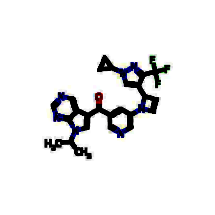 CC(C)n1cc(C(=O)c2cncc(N3C=CC3c3cn(C4CC4)nc3C(F)(F)F)c2)c2cncnc21